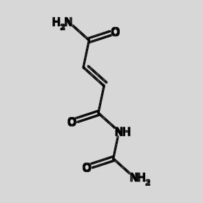 NC(=O)C=CC(=O)NC(N)=O